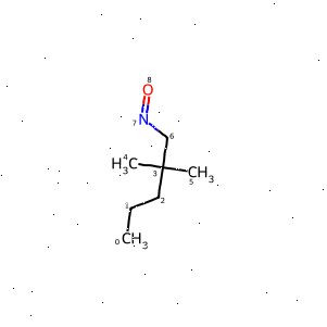 CCCC(C)(C)CN=O